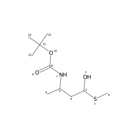 CSC(O)CC(C)NC(=O)OC(C)(C)C